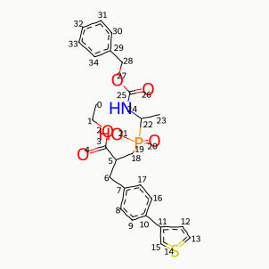 CCOC(=O)C(Cc1ccc(-c2ccsc2)cc1)CP(=O)(O)C(C)NC(=O)OCc1ccccc1